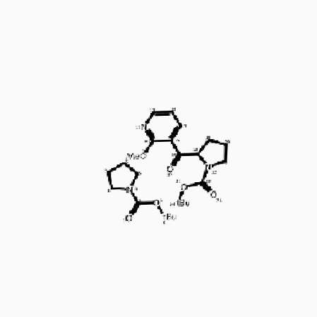 CC(C)(C)OC(=O)N1CCCC1.COc1ncccc1C(=O)C1CCCN1C(=O)OC(C)(C)C